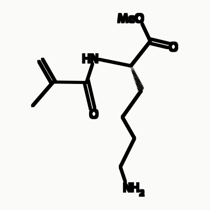 C=C(C)C(=O)N[C@@H](CCCCN)C(=O)OC